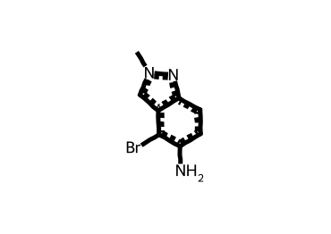 Cn1cc2c(Br)c(N)ccc2n1